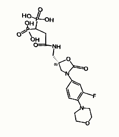 O=C(CC(P(=O)(O)O)P(=O)(O)O)NC[C@H]1CN(c2ccc(N3CCOCC3)c(F)c2)C(=O)O1